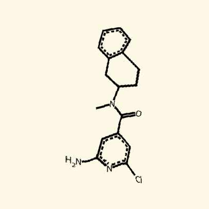 CN(C(=O)c1cc(N)nc(Cl)c1)C1CCc2ccccc2C1